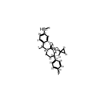 CBc1ccc([C@H](C)N2CC[C@](CC3(O)CC3)(c3ccc(F)cc3)OC2=O)cc1